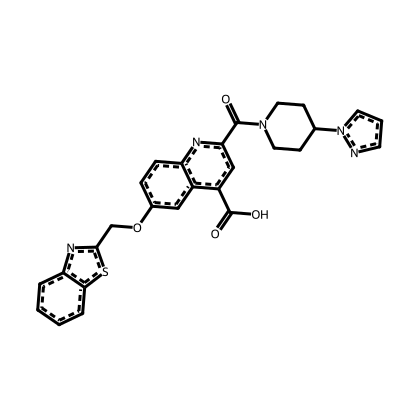 O=C(O)c1cc(C(=O)N2CCC(n3cccn3)CC2)nc2ccc(OCc3nc4ccccc4s3)cc12